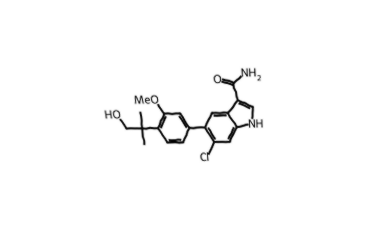 COc1cc(-c2cc3c(C(N)=O)c[nH]c3cc2Cl)ccc1C(C)(C)CO